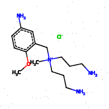 COc1ccc(N)cc1C[N+](C)(CCCN)CCCN.[Cl-]